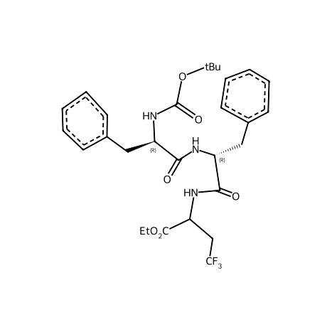 CCOC(=O)C(CC(F)(F)F)NC(=O)[C@@H](Cc1ccccc1)NC(=O)[C@@H](Cc1ccccc1)NC(=O)OC(C)(C)C